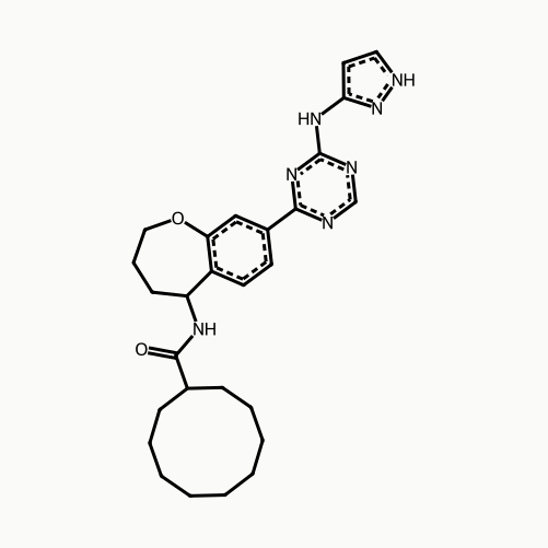 O=C(NC1CCCOc2cc(-c3ncnc(Nc4cc[nH]n4)n3)ccc21)C1CCCCCCCCC1